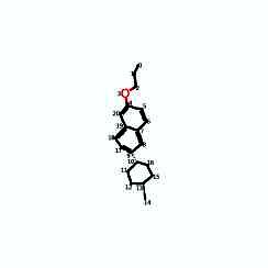 CCCOc1ccc2cc([C@H]3CC[C@H](C)CC3)ccc2c1